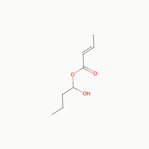 CC=CC(=O)OC(O)CCC